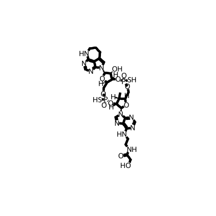 C[C@H]1[C@H]2OP(=O)(S)OC[C@H]3O[C@@H](n4cc5c6c(ncnc64)NCCC5)[C@H](O)[C@@H]3OP(=O)(S)OC[C@H]1O[C@H]2n1cnc2c(NCCNC(=O)CO)ncnc21